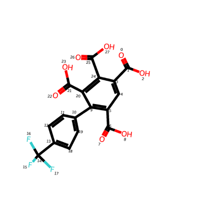 O=C(O)c1cc(C(=O)O)c(-c2ccc(C(F)(F)F)cc2)c(C(=O)O)c1C(=O)O